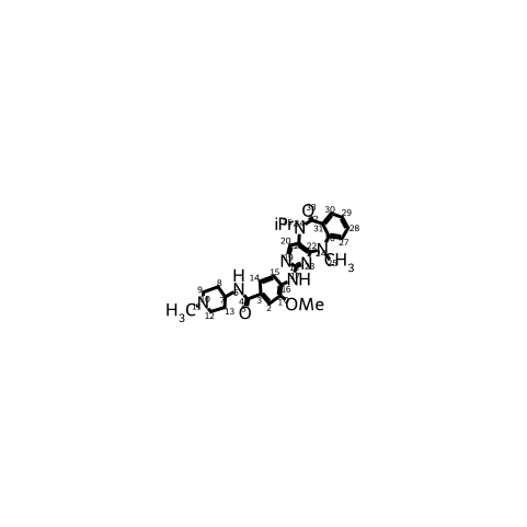 COc1cc(C(=O)NC2CCN(C)CC2)ccc1Nc1ncc2c(n1)N(C)c1ccccc1C(=O)N2C(C)C